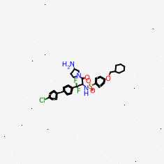 N[C@@H]1CCN(C(=O)[C@@H](NS(=O)(=O)c2ccc(OCC3CCCCC3)cc2)C(F)(F)c2ccc(-c3ccc(Cl)cc3)cc2)C1